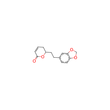 O=C1C=CCC(CCc2ccc3c(c2)OCO3)O1